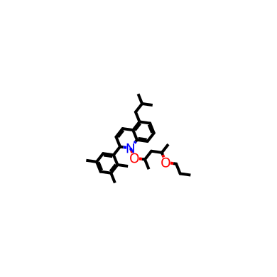 CCCOC(C)CC(C)ON1c2cccc(CC(C)C)c2C=CC1c1cc(C)cc(C)c1C